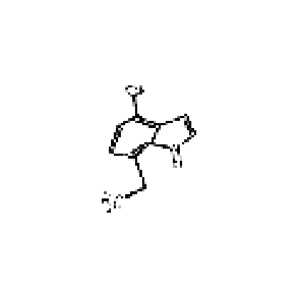 CCc1ccc(O)c2cc[nH]c12